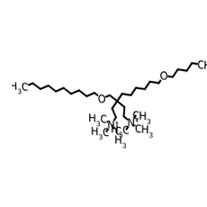 CCCCCCCCCCOCC(CCCCCCOCCCCC)(CC[N+](C)(C)C)CC[N+](C)(C)C